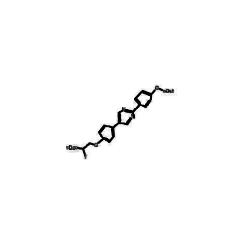 CCCCCCCCCCC(F)COc1ccc(-c2cnc(-c3ccc(OCCCCCCCC)cc3)nc2)cc1